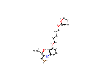 COC(=O)C1=CSCN1c1cccc(OCCCCCOC2CCCCO2)c1